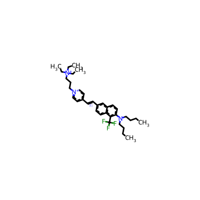 CCCCN(CCCC)c1ccc2cc(/C=C/c3cc[n+](CCC[N+](CC)(CC)CC)cc3)ccc2c1C(F)(F)F